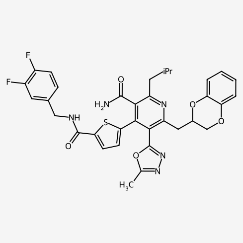 Cc1nnc(-c2c(CC3COc4ccccc4O3)nc(CC(C)C)c(C(N)=O)c2-c2ccc(C(=O)NCc3ccc(F)c(F)c3)s2)o1